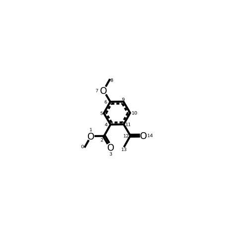 COC(=O)c1cc(OC)ccc1C(C)=O